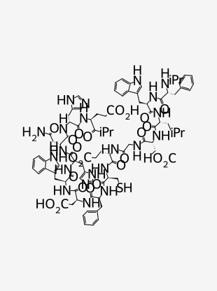 CC(C)C[C@@H](NC(=O)[C@@H](Cc1c[nH]c2ccccc12)NC(=O)[C@@H](Cc1ccccc1)NC(C)C)C(=O)N[C@H](CC(=O)O)C(=O)NCC(=O)N[C@@H](CCC(=O)O)C(=O)N[C@@H](CS)C(=O)N[C@@H](Cc1ccccc1)C(=O)N[C@@H](CC(=O)O)C(=O)N[C@@H](Cc1c[nH]c2ccccc12)C(=O)N[C@H](Cc1cnc[nH]1)C(=O)N[C@H](CC(N)=O)C(=O)N[C@H](Cc1cnc[nH]1)C(=O)N[C@@H](CCC(=O)O)C(=O)C(C)C